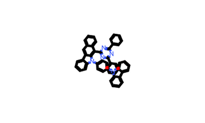 c1ccc(-c2nc(-c3ccccc3)nc(-c3c4ccccc4cc4c5ccccc5n(-c5ccc(-n6c7ccccc7c7ccccc76)cc5)c34)n2)cc1